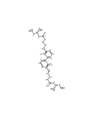 Cc1c(OCCCN(C)C[C@H](O)CO)cccc1-c1cccc(OCCCN(C)C[C@H](O)CO)c1C